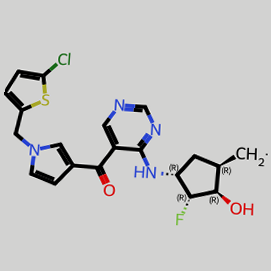 [CH2][C@@H]1C[C@@H](Nc2ncncc2C(=O)c2ccn(Cc3ccc(Cl)s3)c2)[C@@H](F)[C@@H]1O